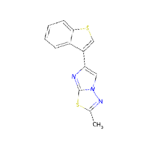 Cc1nn2cc(-c3csc4ccccc34)nc2s1